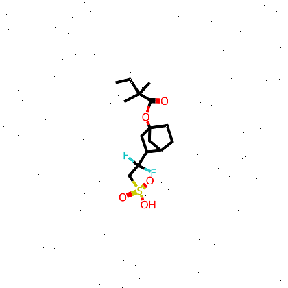 CCC(C)(C)C(=O)OC12CCC(C1)C(C(F)(F)CS(=O)(=O)O)C2